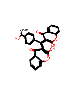 COC(O)c1ccc(C(c2c(O)oc3ccccc3c2=O)c2c(O)oc3ccccc3c2=O)cc1